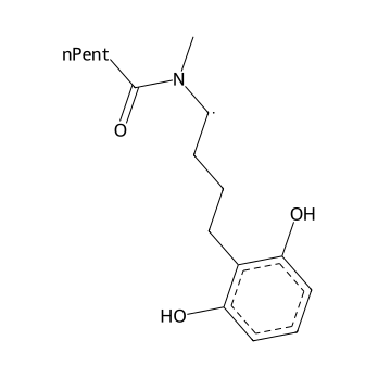 CCCCCC(=O)N(C)[CH]CCCc1c(O)cccc1O